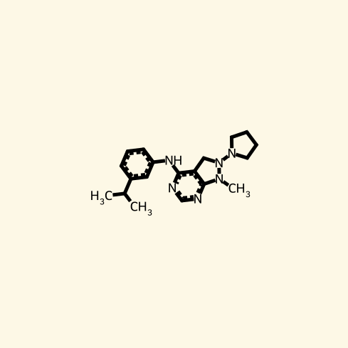 CC(C)c1cccc(Nc2ncnc3c2CN(N2CCCC2)N3C)c1